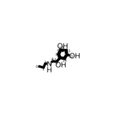 CCCNCC(O)c1cc(O)cc(O)c1